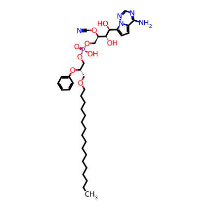 CCCCCCCCCCCCCCCCCOC[C@@H](COP(=O)(O)OC[C@@H](OC#N)[C@@H](O)[C@@H](O)c1ccc2c(N)ncnn12)Oc1ccccc1